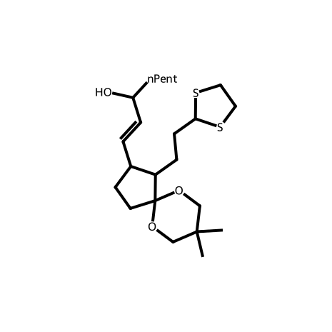 CCCCCC(O)C=CC1CCC2(OCC(C)(C)CO2)C1CCC1SCCS1